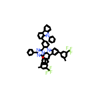 Cc1cc(-c2ccc3c(c2)c2cc(-c4cc(C)cc(C(F)(F)F)c4)ccc2n3-c2ccc(-c3cccc4c5ccccc5n(-c5ccccc5)c34)cc2-c2nc(-c3ccccc3)nc(-c3ccccc3)n2)cc(C(F)(F)F)c1